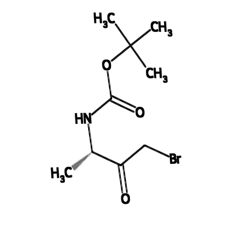 C[C@H](NC(=O)OC(C)(C)C)C(=O)CBr